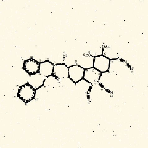 CC[C@H]([C@@H]1CCC(N=[N+]=[N-])C([C@@H]2C(N=[N+]=[N-])CC(N=[N+]=[N-])[C@H](OC(C)=O)[C@H]2OC(C)=O)O1)N(Cc1ccccc1)C(=O)OCc1ccccc1